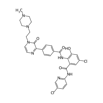 CN1CCN(CCn2ccnc(-c3ccc(C(=O)Nc4c(O)cc(Cl)cc4C(=O)Nc4ccc(Cl)cn4)cc3)c2=O)CC1